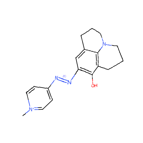 C[n+]1ccc(/N=N/c2cc3c4c(c2O)CCCN4CCC3)cc1